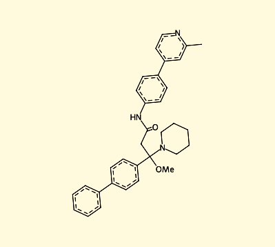 COC(CC(=O)Nc1ccc(-c2ccnc(C)c2)cc1)(c1ccc(-c2ccccc2)cc1)N1CCCCC1